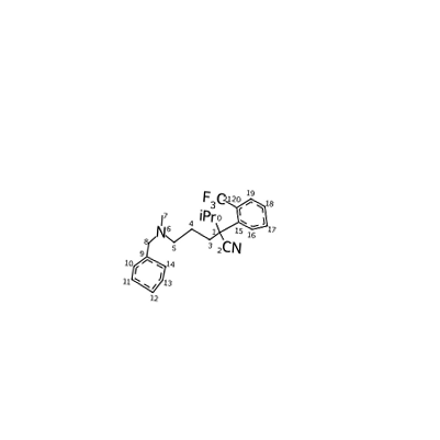 CC(C)C(C#N)(CCCN(C)Cc1ccccc1)c1ccccc1C(F)(F)F